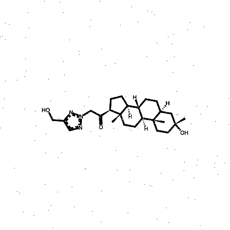 C[C@@]1(O)CC[C@@]2(C)[C@@H](CC[C@@H]3[C@@H]2CC[C@]2(C)[C@@H](C(=O)Cn4ncc(CO)n4)CC[C@@H]32)C1